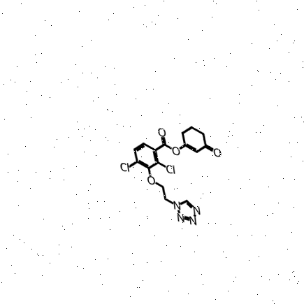 O=C1C=C(OC(=O)c2ccc(Cl)c(OCCn3cnnn3)c2Cl)CCC1